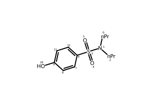 CCCN(CCC)S(=O)(=O)c1c[c]c(O)cc1